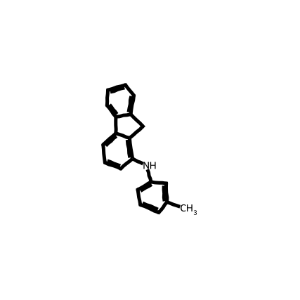 Cc1cccc(Nc2cccc3c2Cc2ccccc2-3)c1